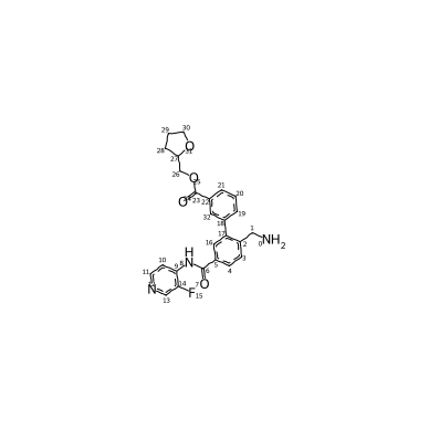 NCc1ccc(C(=O)Nc2ccncc2F)cc1-c1cccc(C(=O)OCC2CCCO2)c1